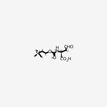 C[Si](C)(C)CCOC(=O)N[C@@H](CC=O)C(=O)O